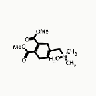 COC(=O)C1=C(C(=O)OC)CC(C[Si](C)(C)C)=CC1